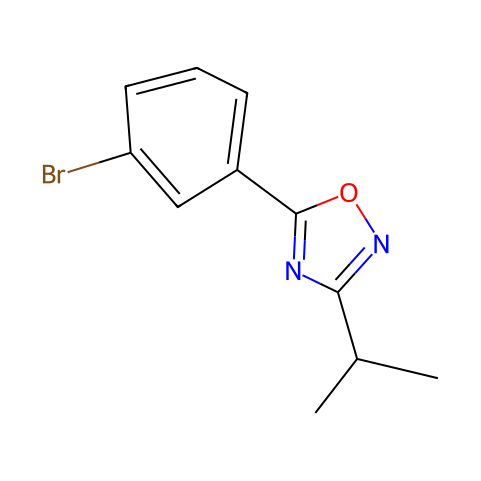 CC(C)c1noc(-c2cccc(Br)c2)n1